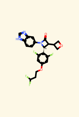 O=C1C(C2COC2)[C@H](c2c(F)cc(OCCC(F)F)cc2F)N1c1ccc2[nH]cnc2c1